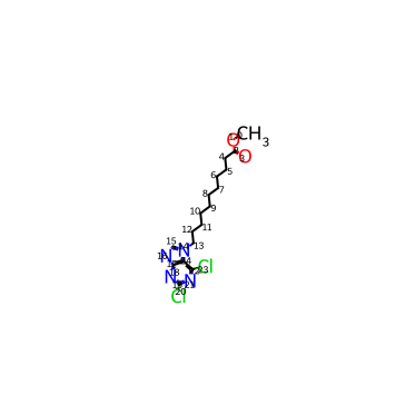 COC(=O)CCCCCCCCCCn1cnc2nc(Cl)nc(Cl)c21